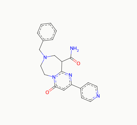 NC(=O)C1CN(Cc2ccccc2)CCn2c1nc(-c1ccncc1)cc2=O